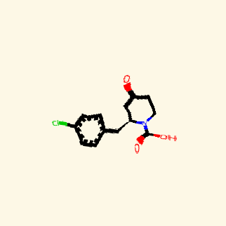 O=C1CCN(C(=O)O)[C@@H](Cc2ccc(Cl)cc2)C1